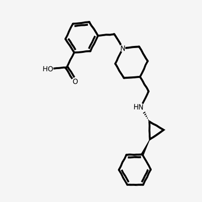 O=C(O)c1cccc(CN2CCC(CN[C@@H]3C[C@H]3c3ccccc3)CC2)c1